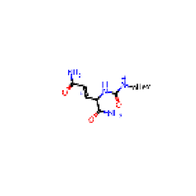 CCCCCCNC(=O)NC(/C=C/C(N)=O)C(N)=O